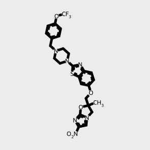 CC1(COc2ccc3nc(N4CCN(Cc5ccc(OC(F)(F)F)cc5)CC4)sc3c2)Cn2cc([N+](=O)[O-])nc2O1